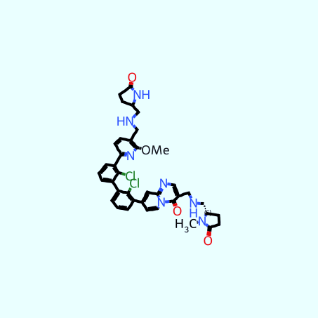 COc1nc(-c2cccc(-c3cccc(-c4ccn5c(=O)c(CNC[C@@H]6CCC(=O)N6C)cnc5c4)c3Cl)c2Cl)ccc1CNCC1CCC(=O)N1